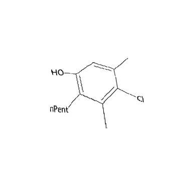 CCCCCc1c(O)cc(C)c(Cl)c1C